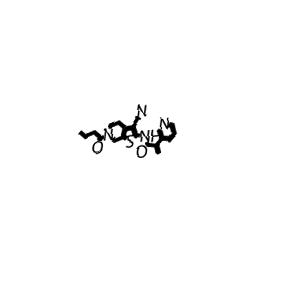 C=C(C(=O)Nc1sc2c(c1C#N)CCN(C(=O)CCC)C2)c1cccnc1